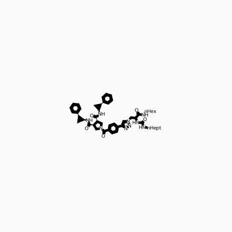 CCCCCCCNC(=O)NC(Cn1cc(-c2ccc(C(=O)N3C[C@@H](C(=O)N[C@H]4C[C@@H]4c4ccccc4)[C@H](C(=O)N[C@H]4C[C@@H]4c4ccccc4)C3)cc2)nn1)C(=O)NCCCCCC